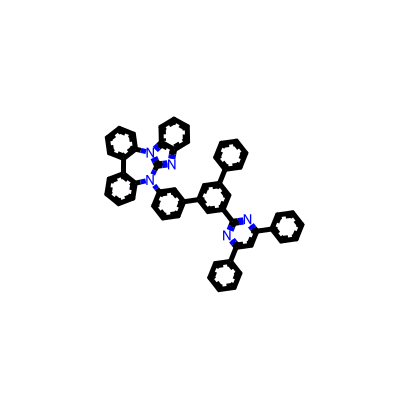 c1ccc(-c2cc(-c3cccc(N4c5ccccc5-c5ccccc5-n5c4nc4ccccc45)c3)cc(-c3nc(-c4ccccc4)cc(-c4ccccc4)n3)c2)cc1